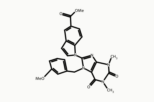 COC(=O)c1ccc2c(ccn2-c2nc3c(c(=O)n(C)c(=O)n3C)n2Cc2cccc(OC)c2)c1